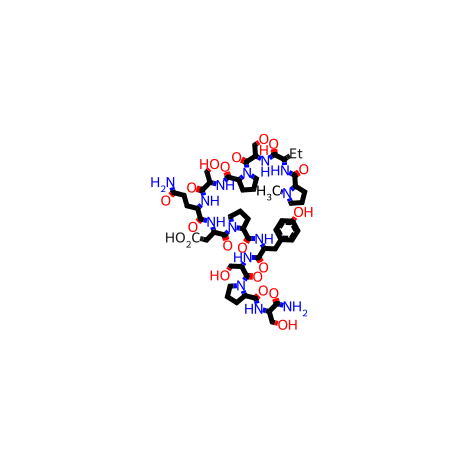 CCC(NC(=O)C1CCCN1C)C(=O)NC(CO)C(=O)N1CCCC1C(=O)NC(CO)C(=O)NC(CCC(N)=O)C(=O)NC(CC(=O)O)C(=O)N1CCCC1C(=O)NC(Cc1ccc(O)cc1)C(=O)NC(CO)C(=O)N1CCCC1C(=O)NC(CO)C(N)=O